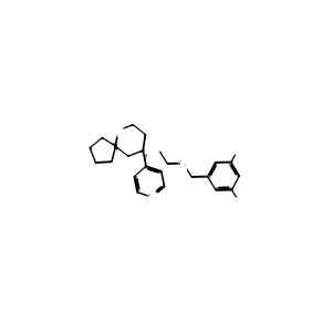 Fc1cc(F)cc(CNCC[C@@]2(c3ccncc3)CCOC3(CCCC3)C2)c1